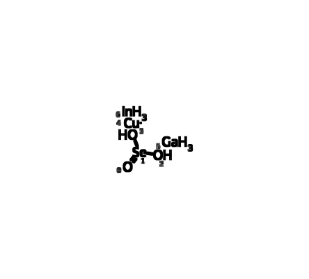 O=[Se](O)O.[Cu].[GaH3].[InH3]